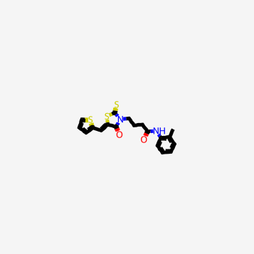 Cc1ccccc1NC(=O)CCCN1C(=O)/C(=C/c2cccs2)SC1=S